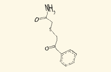 NC(=O)CSCC(=O)c1ccccc1